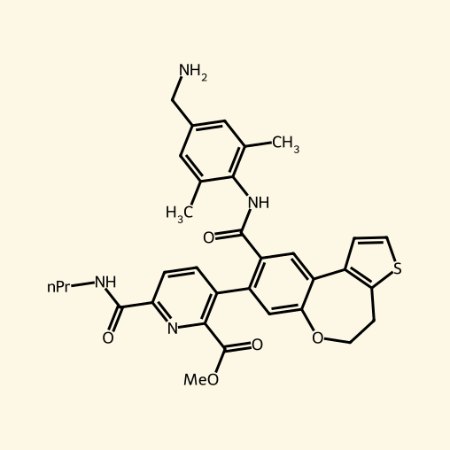 CCCNC(=O)c1ccc(-c2cc3c(cc2C(=O)Nc2c(C)cc(CN)cc2C)-c2ccsc2CCO3)c(C(=O)OC)n1